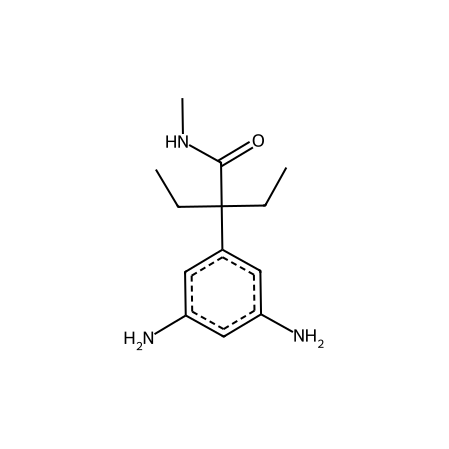 CCC(CC)(C(=O)NC)c1cc(N)cc(N)c1